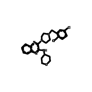 Clc1ccc(Cl)c(CN2CCN(c3nc4ccccc4nc3NC3CCOCC3)CC2)c1